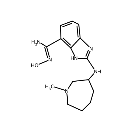 CN1CCCCC(Nc2nc3cccc(C(N)=NO)c3[nH]2)C1